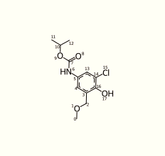 COCc1cc(NC(=O)OC(C)C)cc(Cl)c1O